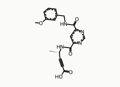 COc1cccc(CNC(=O)c2cc(C(=O)N[C@@H](C)C#CC(=O)O)ncn2)c1